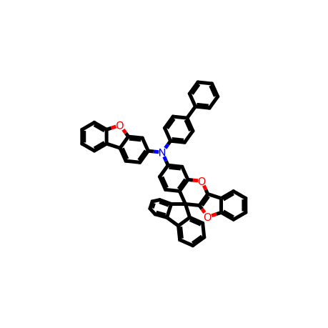 c1ccc(-c2ccc(N(c3ccc4c(c3)Oc3c(oc5ccccc35)C43c4ccccc4-c4ccccc43)c3ccc4c(c3)oc3ccccc34)cc2)cc1